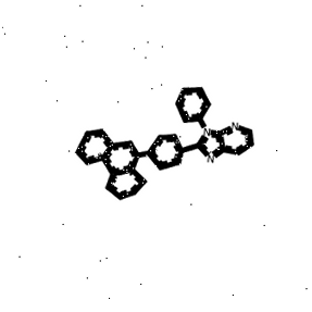 c1ccc(-n2c(-c3ccc(-c4cc5ccccc5c5ccccc45)cc3)nc3cccnc32)cc1